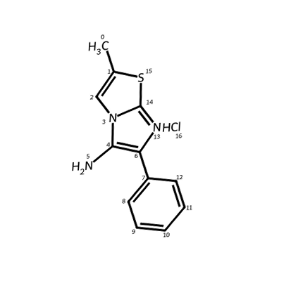 Cc1cn2c(N)c(-c3ccccc3)nc2s1.Cl